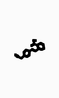 N#CCc1ccc(/N=C/c2ccccc2C(=O)O)cc1